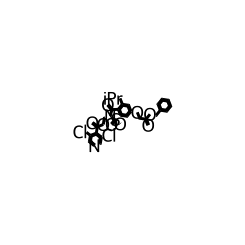 CC(C)c1cc(OCC(=O)OCc2ccccc2)cc2c1C(=O)N(COC(=O)c1c(Cl)cncc1Cl)S2(=O)=O